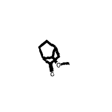 COC1C2CCC1C(=O)C2